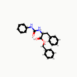 O=C(Nc1ccccc1)NC(Cc1ccccc1)C(=O)OCc1ccccc1